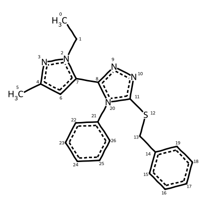 CCn1nc(C)cc1-c1nnc(SCc2ccccc2)n1-c1ccccc1